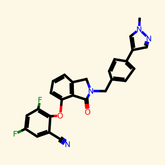 Cn1cc(-c2ccc(CN3Cc4cccc(Oc5c(F)cc(F)cc5C#N)c4C3=O)cc2)cn1